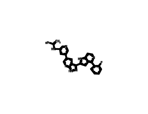 C=C(CCC)Nc1cncc(-c2cnc3[nH]nc(-c4cc5c(-c6ccccc6F)nccc5[nH]4)c3c2)c1